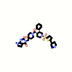 Cn1ccc2c(=O)n(CC3(O)CCN(C(=O)[C@@H]4CCN(S(=O)(=O)c5ccc(-c6ccncc6)s5)C[C@H]4c4ccccc4)CC3)cnc21